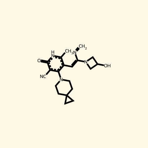 C=N/C(=C\c1c(C)[nH]c(=O)c(C#N)c1N1CCC2(CC1)CC2)N1CC(O)C1